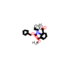 C=CCN(C(=O)OCc1ccccc1)c1c(C(C)=O)cccc1C(=O)OC